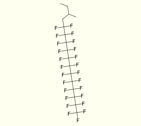 CCC(C)CC(F)(F)C(F)(F)C(F)(F)C(F)(F)C(F)(F)C(F)(F)C(F)(F)C(F)(F)C(F)(F)C(F)(F)C(F)(F)C(F)(F)F